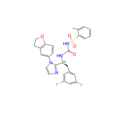 Cc1ccccc1S(=O)(=O)NC(=O)N[C@@H](Cc1cc(F)cc(F)c1)c1nccn1-c1ccc2c(c1)CCO2